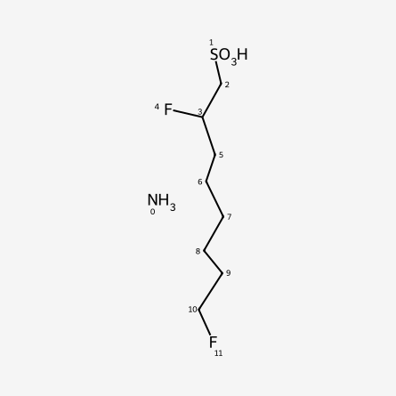 N.O=S(=O)(O)CC(F)CCCCCCF